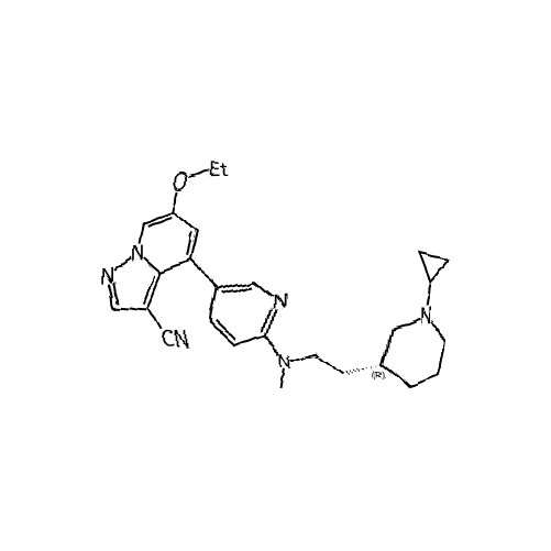 CCOc1cc(-c2ccc(N(C)CC[C@H]3CCCN(C4CC4)C3)nc2)c2c(C#N)cnn2c1